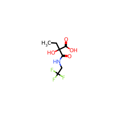 CCC(O)(C(=O)O)C(=O)NCC(F)(F)F